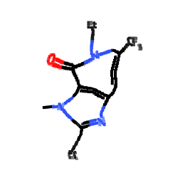 CCc1nc2cc(C(F)(F)F)n(CC)c(=O)c2n1C